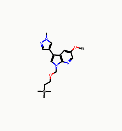 CCOc1cnc2c(c1)c(-c1cnn(C)c1)cn2COCC[Si](C)(C)C